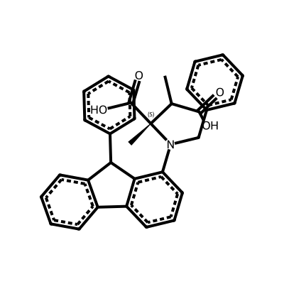 CC(C(=O)O)[C@@](C)(C(=O)O)N(Cc1ccccc1)c1cccc2c1C(c1ccccc1)c1ccccc1-2